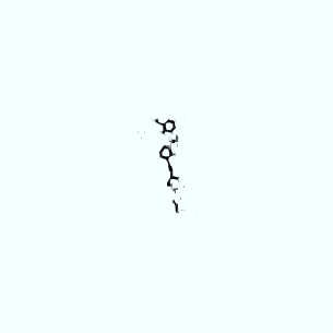 COc1c(CO)cc(Cl)cc1S(=O)(=O)Nc1ccc(F)c(C#Cc2cnc(NCC(C)(C)CO)nc2)c1F